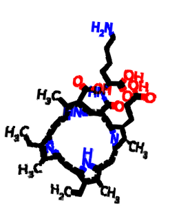 C=Cc1c(C)c2cc3nc(c(C(=O)NC(CCCCN)C(=O)O)c4[nH]c(cc5nc(cc1[nH]2)C(C)=C5CC)c(C)c4C(=O)O)[C@@H](CCC(=O)O)[C@@H]3C